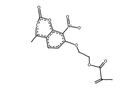 C=C(C)C(=O)OCCOc1ccc2c(C)cc(=O)oc2c1[N+](=O)[O-]